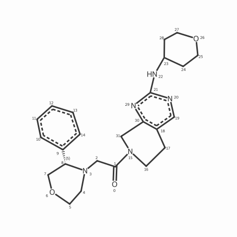 O=C(CN1CCOC[C@@H]1c1ccccc1)N1CCc2cnc(NC3CCOCC3)nc2C1